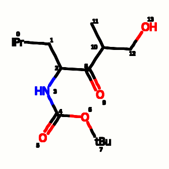 CC(C)CC(NC(=O)OC(C)(C)C)C(=O)C(C)CO